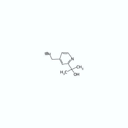 CC(C)(C)Cc1ccnc(C(C)(C)O)c1